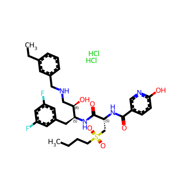 CCCCS(=O)(=O)C[C@@H](NC(=O)c1ccc(O)nc1)C(=O)N[C@@H](Cc1cc(F)cc(F)c1)[C@H](O)CNCc1cccc(CC)c1.Cl.Cl